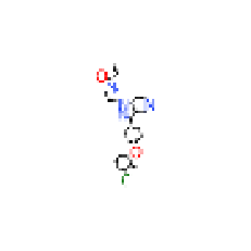 C=CC(=O)N1CC[C@@H](n2nc(-c3ccc(Oc4cccc(Cl)c4C)cc3)c3cnccc32)C1